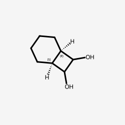 OC1C(O)[C@@H]2CCCC[C@H]12